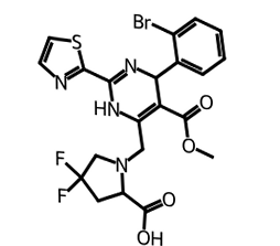 COC(=O)C1=C(CN2CC(F)(F)CC2C(=O)O)NC(c2nccs2)=NC1c1ccccc1Br